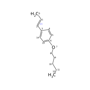 [CH2]/C=C/c1ccc(OCCCCC)cc1